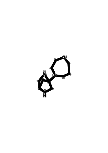 C1COCCN(C23CNC(C[N]2)C3)C1